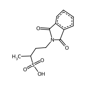 CC(CCN1C(=O)c2ccccc2C1=O)S(=O)(=O)O